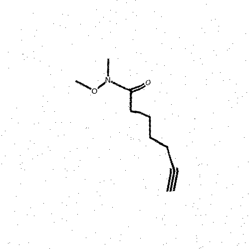 C#CCCCCC(=O)N(C)OC